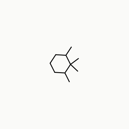 C[C]1CCCC(C)C1(C)C